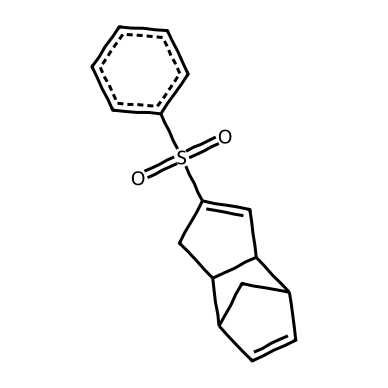 O=S(=O)(C1=CC2C3C=CC(C3)C2C1)c1ccccc1